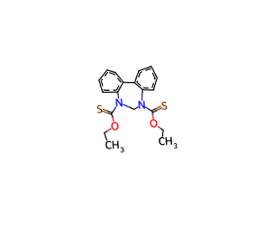 CCOC(=S)N1CN(C(=S)OCC)c2ccccc2-c2ccccc21